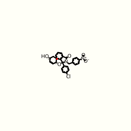 O=C1c2ccccc2C(O[C@@H]2C=C[C@@H](O)CC2)(c2ccc(Cl)cc2)N1Cc1ccc([N+](=O)[O-])cc1